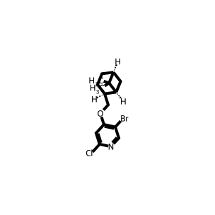 CC1(C)[C@H]2CC[C@H](COc3cc(Cl)ncc3Br)[C@@H]1C2